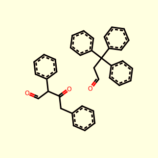 O=CC(C(=O)Cc1ccccc1)c1ccccc1.O=CCC(c1ccccc1)(c1ccccc1)c1ccccc1